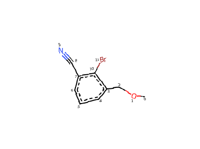 COCc1cccc(C#N)c1Br